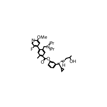 COc1cc(-c2cc(C)c(C(=O)Oc3cccc([C@H](CPCC(C)O)C4CC4)c3)cc2CN(C(C)C)C(C)C)c(F)cn1